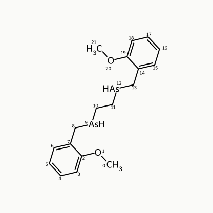 COc1ccccc1C[AsH]CC[AsH]Cc1ccccc1OC